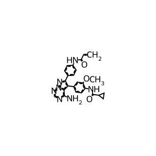 C=CC(=O)Nc1ccc(-c2nn3ncnc(N)c3c2-c2ccc(NC(=O)C3CC3)c(OC)c2)cc1